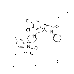 Cc1ccc(C2(N3CCOC3=O)CCN(CCC3(c4ccc(Cl)c(Cl)c4)CN(c4ccccc4)C(=O)CO3)CC2)cc1C